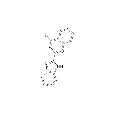 S=c1cc(-c2nc3ccccc3[nH]2)oc2ccccc12